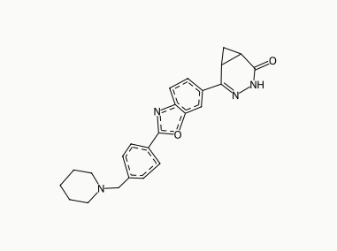 O=C1NN=C(c2ccc3nc(-c4ccc(CN5CCCCC5)cc4)oc3c2)C2CC12